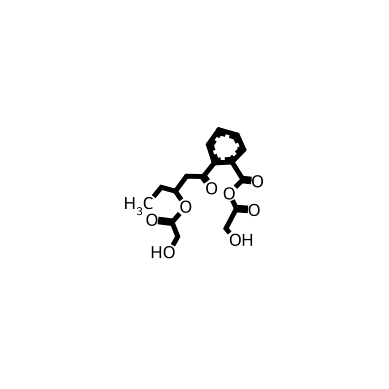 CCC(CC(=O)c1ccccc1C(=O)OC(=O)CO)OC(=O)CO